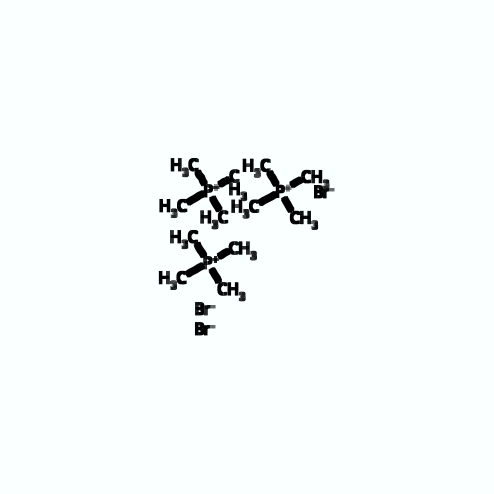 C[P+](C)(C)C.C[P+](C)(C)C.C[P+](C)(C)C.[Br-].[Br-].[Br-]